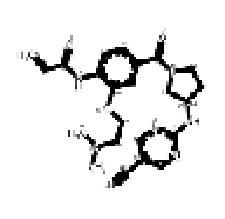 C=CC(=O)Nc1ccc(C(=O)N2CC[C@@H](Nc3ncc(C#N)cn3)C2)cc1OCCN(C)C